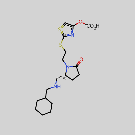 O=C(O)Oc1csc(SCCN2C(=O)CC[C@@H]2CNCC2CCCCC2)n1